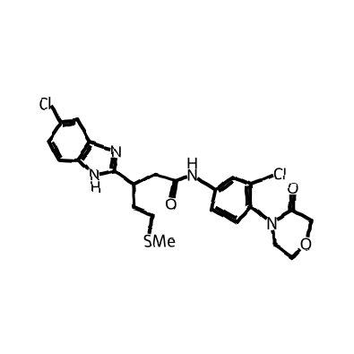 CSCCC(CC(=O)Nc1ccc(N2CCOCC2=O)c(Cl)c1)c1nc2cc(Cl)ccc2[nH]1